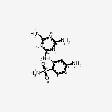 Nc1ccc(S(N)(=O)=O)cc1.Nc1nc(N)nc(N)n1